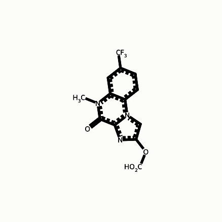 Cn1c(=O)c2nc(OC(=O)O)cn2c2ccc(C(F)(F)F)cc21